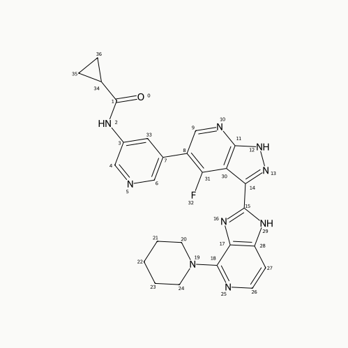 O=C(Nc1cncc(-c2cnc3[nH]nc(-c4nc5c(N6CCCCC6)nccc5[nH]4)c3c2F)c1)C1CC1